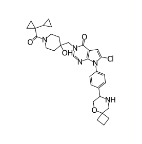 O=C(N1CCC(O)(Cn2cnc3c(cc(Cl)n3-c3ccc(C4COC5(CCC5)CN4)cc3)c2=O)CC1)C1(C2CC2)CC1